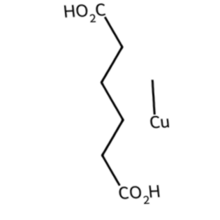 O=C(O)CCCCC(=O)O.[CH3][Cu]